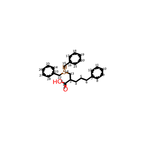 O=C(O)C(CCCc1ccccc1)C[SH](Cc1ccccc1)Cc1ccccc1